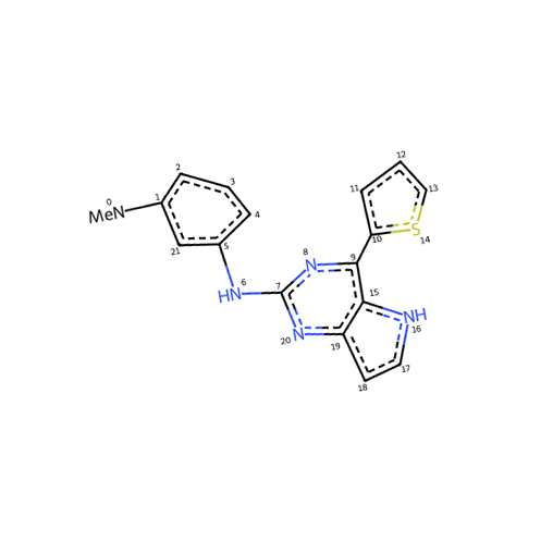 CNc1cccc(Nc2nc(-c3cccs3)c3[nH]ccc3n2)c1